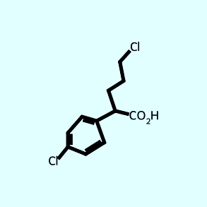 O=C(O)C(CCCCl)c1ccc(Cl)cc1